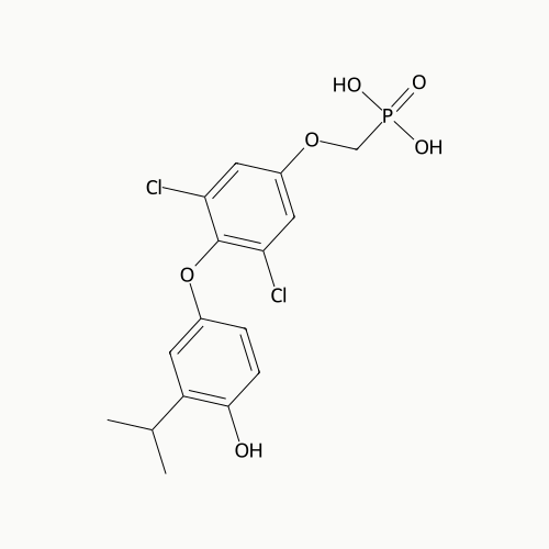 CC(C)c1cc(Oc2c(Cl)cc(OCP(=O)(O)O)cc2Cl)ccc1O